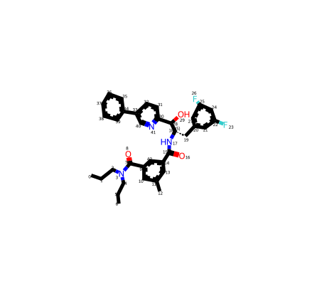 CCCN(CCC)C(=O)c1cc(C)cc(C(=O)N[C@@H](Cc2cc(F)cc(F)c2)C(O)c2ccc(-c3ccccc3)cn2)c1